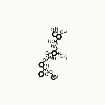 COc1cc(NC(=O)COc2cccc([C@@H](NC(=O)OC3CN4CCC3CC4)c3ccccc3)c2)c(Cl)cc1CNCC(O)c1ccc(O)c2[nH]c(=O)ccc12